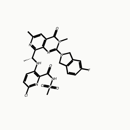 Cc1cc2c(=O)n(C)c(N3Cc4ccc(F)cc4C3)nc2c([C@@H](C)Nc2ccc(Cl)nc2C(=O)NS(C)(=O)=O)n1